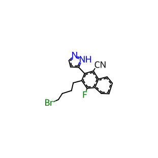 N#Cc1c(-c2ccn[nH]2)c(CCCCBr)c(F)c2ccccc12